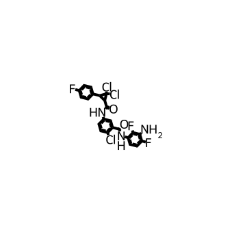 Nc1c(F)ccc(NC(=O)c2cc(NC(=O)C3C(c4ccc(F)cc4)C3(Cl)Cl)ccc2Cl)c1F